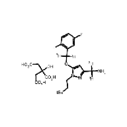 O=C(O)CC(O)(CC(=O)O)C(=O)O.[2H]C([2H])(N)c1cc(OC([2H])([2H])c2cc(F)ccc2F)n(CCC(C)(C)C)n1